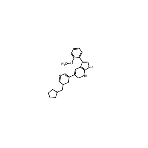 COc1ccccc1-c1c[nH]c2c1C=C(C1=CN=CC(CN3CCCC3)C1)CN2